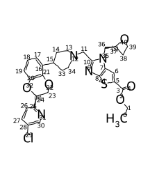 CCOC(=O)c1cc2c(nc(CN3CCC(c4cccc5c4OC[C@@H](c4ccc(Cl)cn4)O5)CC3)n2C[C@@H]2CCO2)s1